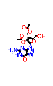 CC(=O)OC[C@H]1[C@@H](OC(C)=O)[C@H](n2nnc3c(=O)[nH]c(N)nc32)O[C@@H]1CO